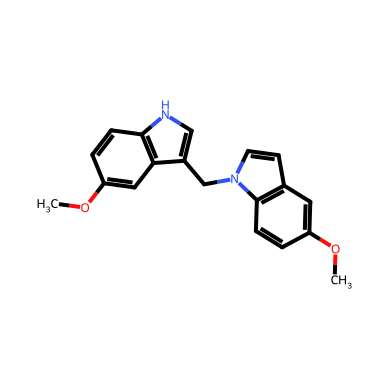 COc1ccc2c(ccn2Cc2c[nH]c3ccc(OC)cc23)c1